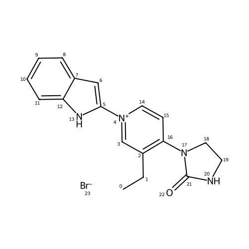 CCc1c[n+](-c2cc3ccccc3[nH]2)ccc1N1CCNC1=O.[Br-]